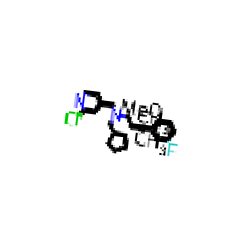 COc1ccc(F)cc1C(C)(C)CCN(Cc1ccnc(Cl)c1)CC1CCCC1